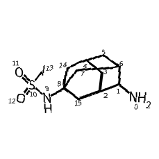 NC1C2CC3CC1CC(NS(=O)(=O)I)(C3)C2